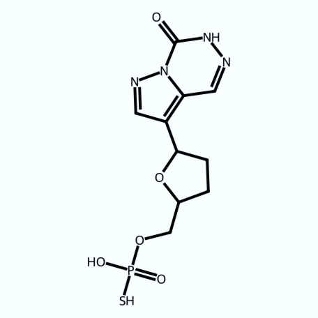 O=c1[nH]ncc2c(C3CCC(COP(=O)(O)S)O3)cnn12